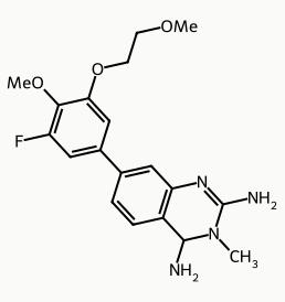 COCCOc1cc(-c2ccc3c(c2)N=C(N)N(C)C3N)cc(F)c1OC